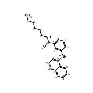 CCCCCCNC(=O)c1cccc(Nc2ccnc3ccccc23)c1